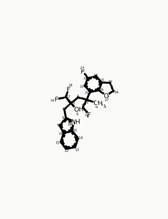 CC(CF)(CC(O)(Cc1cc2ccccc2[nH]1)C(F)F)c1cc(F)cc2c1OCC2